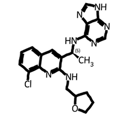 C[C@H](Nc1ncnc2[nH]cnc12)c1cc2cccc(Cl)c2nc1NCC1CCCO1